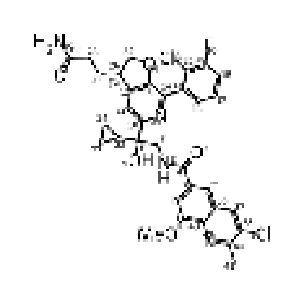 COc1cc(C(=O)NCC(O)(c2cc3c(c(-c4cccc(F)c4Cl)n2)OC[C@H]3CCC(N)=O)C2CC2)cc2cc(Cl)c(C)nc12